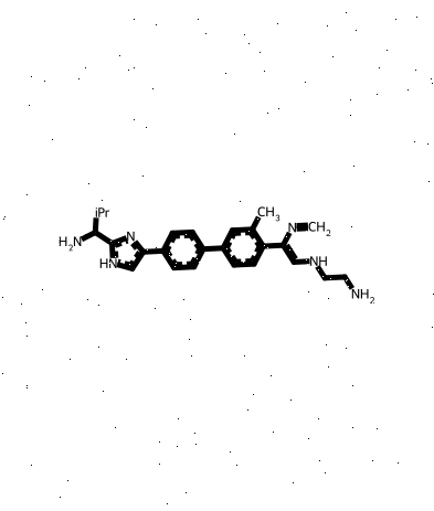 C=N/C(=C\NCCN)c1ccc(-c2ccc(-c3c[nH]c(C(N)C(C)C)n3)cc2)cc1C